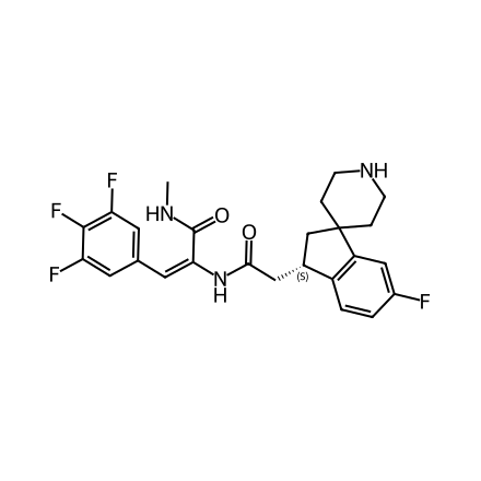 CNC(=O)C(=Cc1cc(F)c(F)c(F)c1)NC(=O)C[C@@H]1CC2(CCNCC2)c2cc(F)ccc21